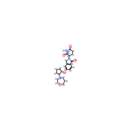 O=C1CCC(N2Cc3cc(O[C@@H]4CCC[C@@H]4N4CCCOCC4)ccc3C2=O)C(=O)N1